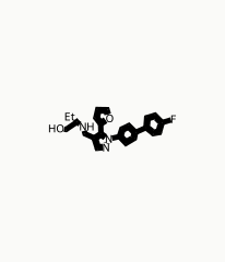 CCC(CO)NCc1cnn(-c2ccc(-c3ccc(F)cc3)cc2)c1-c1ccco1